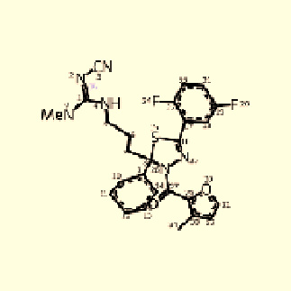 CN/C(=N/C#N)NCCCC1(c2ccccc2)SC(c2cc(F)ccc2F)=NN1C(=O)c1occc1C